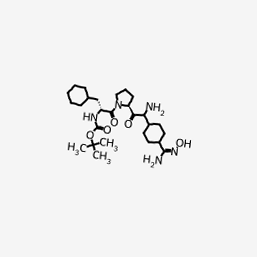 CC(C)(C)OC(=O)N[C@H](CC1CCCCC1)C(=O)N1CCC[C@H]1C(=O)C(N)C1CCC(/C(N)=N\O)CC1